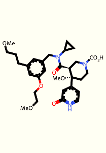 COCCCc1cc(CN(C(=O)[C@H]2CN(C(=O)O)CC[C@@]2(OC)c2cc[nH]c(=O)c2)C2CC2)cc(OCCOC)c1